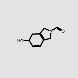 O=CN1CC2=C(CC(O)C=C2)C1